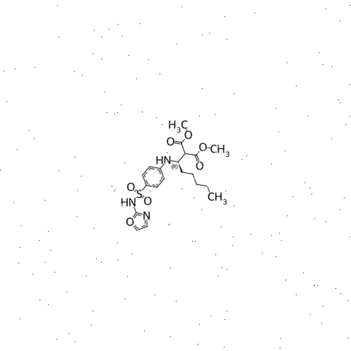 CCCCC[C@@H](Nc1ccc(S(=O)(=O)Nc2ncco2)cc1)C(C(=O)OC)C(=O)OC